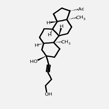 CC(=O)[C@H]1CC[C@H]2[C@@H]3CC[C@@H]4C[C@@](O)(C#CCCO)CC[C@]4(C)[C@H]3CC[C@]12C